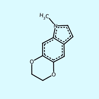 Cn1ccc2cc3c(cc21)OCCO3